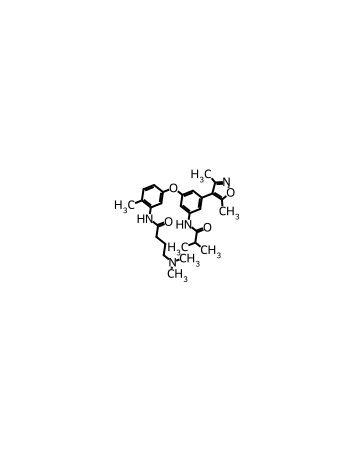 Cc1ccc(Oc2cc(NC(=O)C(C)C)cc(-c3c(C)noc3C)c2)cc1NC(=O)CCCN(C)C